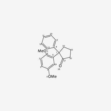 COc1ccc(OC)c(C2(c3ccccc3)CCCC2=O)c1